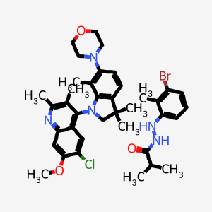 COc1cc2nc(C)c(C)c(N3CC(C)(C)c4ccc(N5CCOCC5)c(C)c43)c2cc1Cl.Cc1c(Br)cccc1NNC(=O)C(C)C